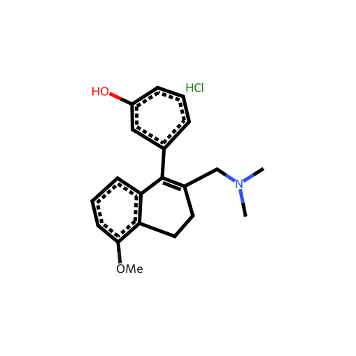 COc1cccc2c1CCC(CN(C)C)=C2c1cccc(O)c1.Cl